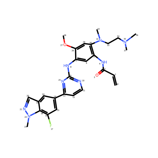 C=CC(=O)Nc1cc(Nc2nccc(-c3cc(F)c4c(cnn4C)c3)n2)c(OC)cc1N(C)CCN(C)C